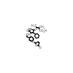 C=Cc1ccccc1.CC=C(C)C(=O)O.O=C1C=C(C2CCCCC2)C(=O)N1.O=C1C=CC(=O)O1